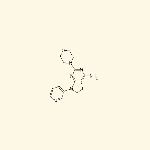 Nc1nc(N2CCOCC2)nc2c1CCN2c1cccnc1